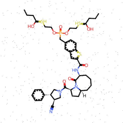 CCCC(O)=[SH]CCOP(=O)(Cc1ccc2sc(C(=O)N[C@H]3CCCC[C@H]4CC[C@@H](C(=O)N5C[C@@H](C#N)[C@H](c6ccccc6)C5)N4C3=O)cc2c1)OCC[SH]=C(O)CCC